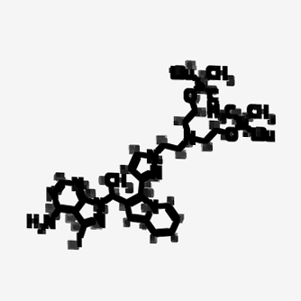 CC(c1cc2ccccn2c1-c1ccn(CCN(CCO[Si](C)(C)C(C)(C)C)CCO[Si](C)(C)C(C)(C)C)n1)n1nc(I)c2c(N)ncnc21